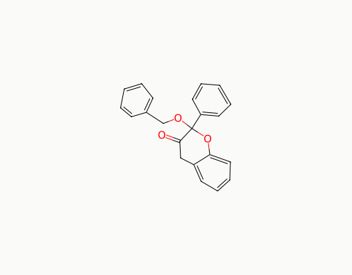 O=C1Cc2ccccc2OC1(OCc1ccccc1)c1ccccc1